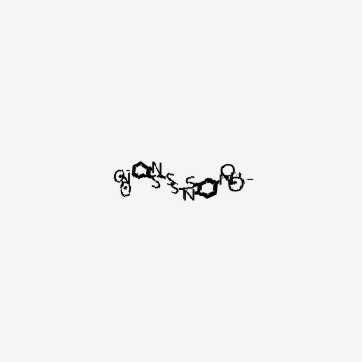 O=[N+]([O-])c1ccc2nc(SSc3nc4ccc([N+](=O)[O-])cc4s3)sc2c1